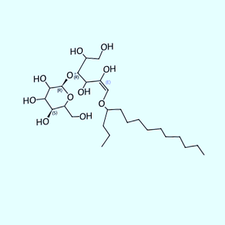 CCCCCCCCCCC(CCC)O/C=C(/O)C(O)[C@H](O[C@H]1OC(CO)[C@@H](O)C(O)C1O)C(O)CO